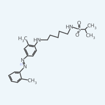 Cc1ccccc1/N=N/c1ccc(NCCCCCNS(=O)(=O)C(C)C)c(C)c1